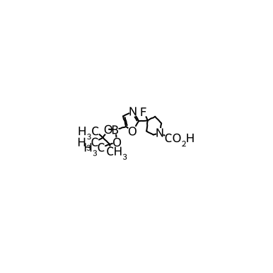 CC1(C)OB(c2cnc(C3(F)CCN(C(=O)O)CC3)o2)OC1(C)C